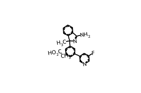 CC(=O)O.CC1(c2cccc(-c3cncc(F)c3)c2)N=C(N)c2ccccc21